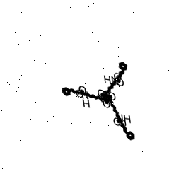 O=C(NCCCCCCn1c(=O)n(CCCCCCNC(=O)OC/C=C/c2ccccc2)c(=O)n(CCCCCCNC(=O)OC/C=C/c2ccccc2)c1=O)OC/C=C/c1ccccc1